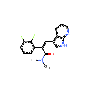 CN(C)C(=O)C(=Cc1c[nH]c2ncccc12)c1cccc(F)c1F